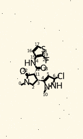 CN1C[C@H](C2=CC(Cl)NN2C)[C@@H](C(=O)Nc2ccsc2F)C1=O